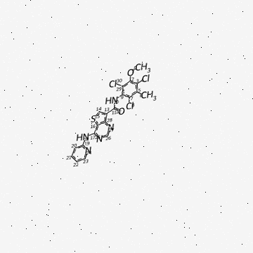 COc1c(Cl)c(C)c(Cl)c(NC(=O)c2csc3c(Nc4ccccn4)ncnc23)c1Cl